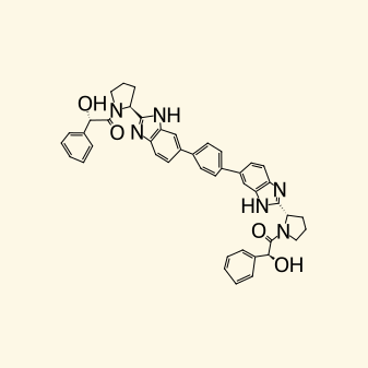 O=C([C@@H](O)c1ccccc1)N1CCC[C@H]1c1nc2ccc(-c3ccc(-c4ccc5nc([C@@H]6CCCN6C(=O)[C@@H](O)c6ccccc6)[nH]c5c4)cc3)cc2[nH]1